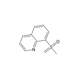 C=S(C)(=O)c1cccc2cccnc12